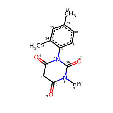 CCCN1C(=O)CC(=O)N(c2ccc(C)cc2C)C1=O